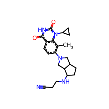 Cc1c(N2CC3CCC(NCCC#N)C3C2)ccc2c(=O)[nH]c(=O)n(C3CC3)c12